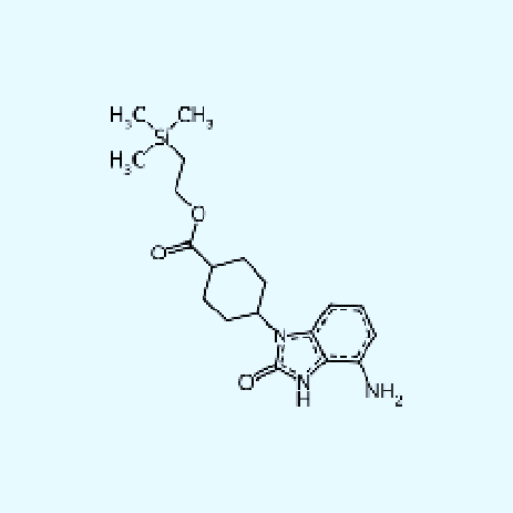 C[Si](C)(C)CCOC(=O)C1CCC(n2c(=O)[nH]c3c(N)cccc32)CC1